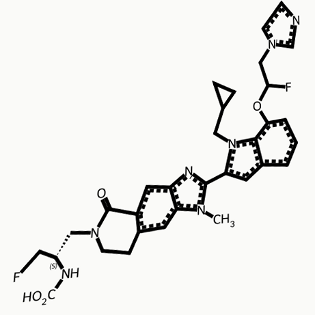 Cn1c(-c2cc3cccc(OC(F)Cn4ccnc4)c3n2CC2CC2)nc2cc3c(cc21)CCN(C[C@@H](CF)NC(=O)O)C3=O